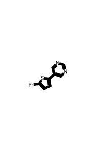 CC(C)c1ccc(-c2cncnc2)s1